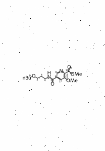 CCCCOCCCNC(=O)c1cnc(C(=O)OC)c(OC)c1